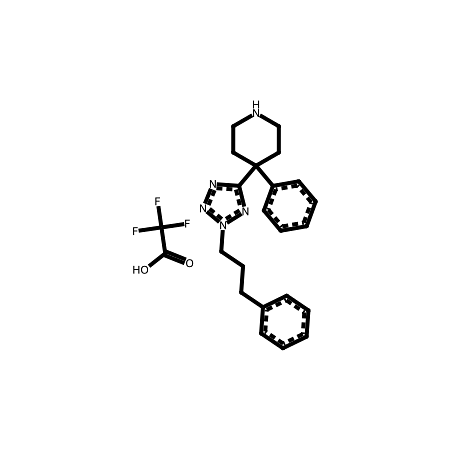 O=C(O)C(F)(F)F.c1ccc(CCCn2nnc(C3(c4ccccc4)CCNCC3)n2)cc1